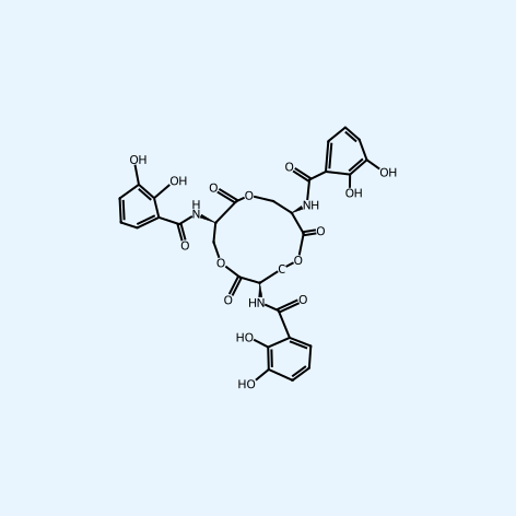 O=C(N[C@@H]1COC(=O)[C@H](NC(=O)c2cccc(O)c2O)COC(=O)[C@H](NC(=O)c2cccc(O)c2O)COC1=O)c1cccc(O)c1O